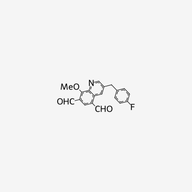 COc1c(C=O)cc(C=O)c2cc(Cc3ccc(F)cc3)cnc12